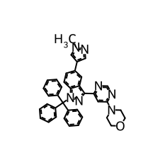 Cn1cc(-c2ccc3c(c2)c(-c2cc(N4CCOCC4)ncn2)nn3C(c2ccccc2)(c2ccccc2)c2ccccc2)cn1